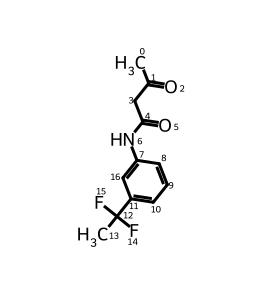 CC(=O)CC(=O)Nc1cccc(C(C)(F)F)c1